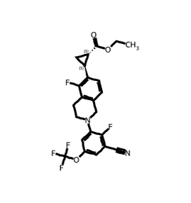 CCOC(=O)[C@H]1C[C@@H]1c1ccc2c(c1F)CCN(c1cc(OC(F)(F)F)cc(C#N)c1F)C2